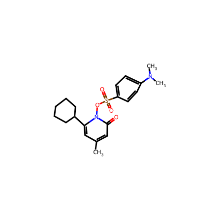 Cc1cc(C2CCCCC2)n(OS(=O)(=O)c2ccc(N(C)C)cc2)c(=O)c1